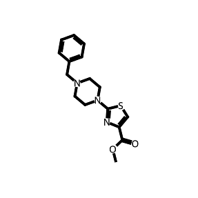 COC(=O)c1csc(N2CCN(Cc3ccccc3)CC2)n1